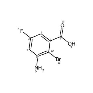 Nc1cc(F)cc(C(=O)O)c1Br